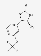 C[C@@H]1NC(=O)OC1c1cccc(OC(F)(F)F)c1